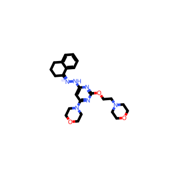 c1ccc2c(c1)CCC/C2=N/Nc1cc(N2CCOCC2)nc(OCCN2CCOCC2)n1